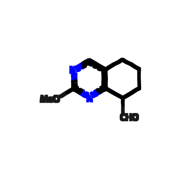 COc1ncc2c(n1)C(C=O)CCC2